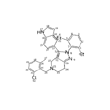 CCc1cccc(CC)c1-n1nc2c(c1-c1ccc3[nH]ccc3c1)CN(Cc1c(C)cccc1Cl)CC2